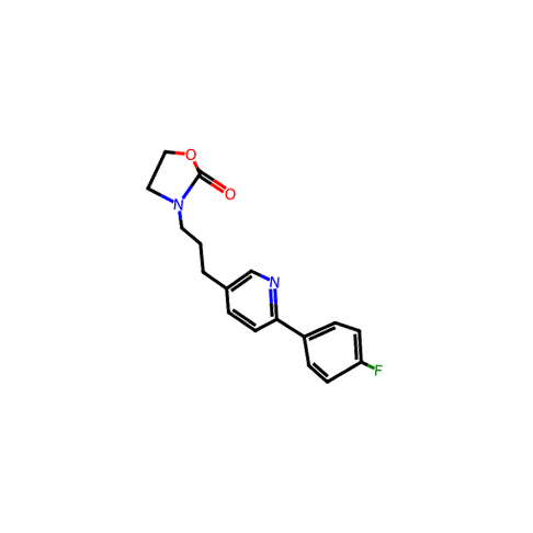 O=C1OCCN1CCCc1ccc(-c2ccc(F)cc2)nc1